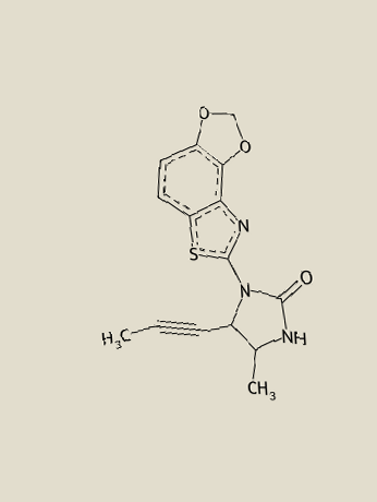 CC#CC1C(C)NC(=O)N1c1nc2c3c(ccc2s1)OCO3